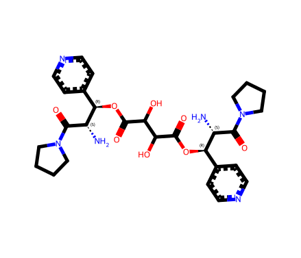 N[C@H](C(=O)N1CCCC1)[C@H](OC(=O)C(O)C(O)C(=O)O[C@H](c1ccncc1)[C@H](N)C(=O)N1CCCC1)c1ccncc1